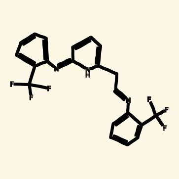 FC(F)(F)c1ccccc1N=CCc1cccc(=Nc2ccccc2C(F)(F)F)[nH]1